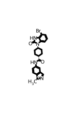 Cn1ncc2cc(NC(=O)[C@H]3CC[C@@H](n4c(=O)[nH]c5c(Br)cccc54)CC3)ccc21